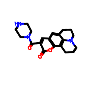 O=C(c1cc2cc3c4c(c2oc1=O)CCCN4CCC3)N1CCNCC1